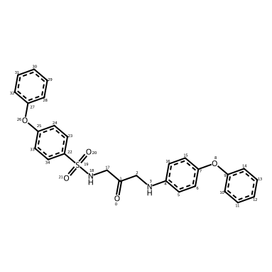 O=C(CNc1ccc(Oc2ccccc2)cc1)CNS(=O)(=O)c1ccc(Oc2ccccc2)cc1